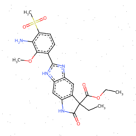 CCOC(=O)C1(CC)C(=O)Nc2cc3[nH]c(-c4ccc(S(C)(=O)=O)c(N)c4OC)nc3cc21